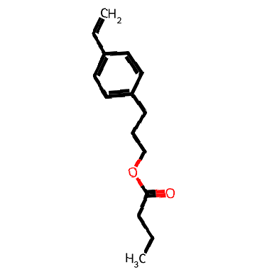 C=Cc1ccc(CCCOC(=O)CCC)cc1